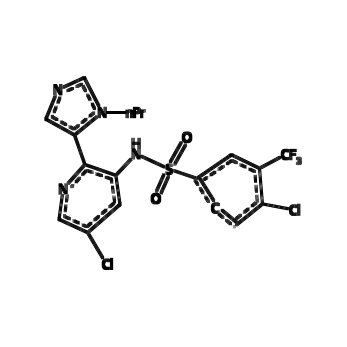 CCCn1cncc1-c1ncc(Cl)cc1NS(=O)(=O)c1ccc(Cl)c(C(F)(F)F)c1